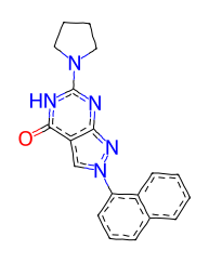 O=c1[nH]c(N2CCCC2)nc2nn(-c3cccc4ccccc34)cc12